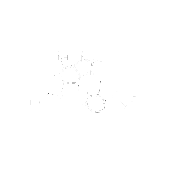 CCOc1nc(N)c2nc(Br)n(Cc3ccccc3OC(F)F)c2n1